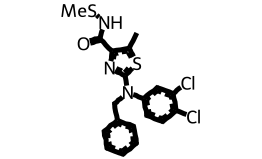 CSNC(=O)c1nc(N(Cc2ccccc2)c2ccc(Cl)c(Cl)c2)sc1C